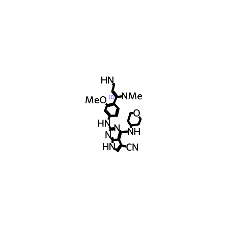 CN/C(=C\C=N)c1ccc(Nc2nc(NC3CCOCC3)c3c(C#N)c[nH]c3n2)cc1OC